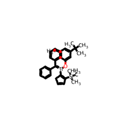 Cc1cc([O][Ti]([C]2=C([Si](C)(C)C)C=CC2)=[C](c2ccccc2)c2ccccc2)cc(C(C)(C)C)c1